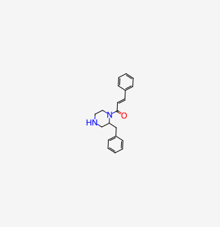 O=C(C=Cc1ccccc1)N1CCNCC1Cc1ccccc1